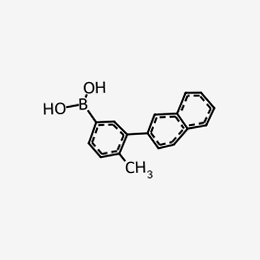 Cc1ccc(B(O)O)cc1-c1ccc2ccccc2c1